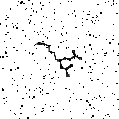 CCCCCCCCCCCCC[SH](OC(=O)CC)SOC(=O)CC